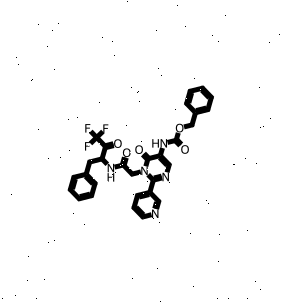 O=C(Cn1c(-c2cccnc2)ncc(NC(=O)OCc2ccccc2)c1=O)NC(Cc1ccccc1)C(=O)C(F)(F)F